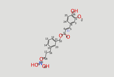 COc1cc(/C=C/C(=O)OCc2cccc(CCCON(O)O)c2)ccc1O